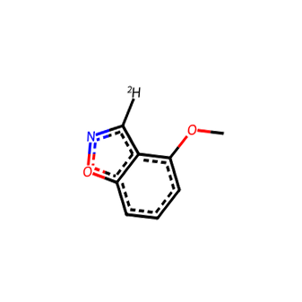 [2H]c1noc2cccc(OC)c12